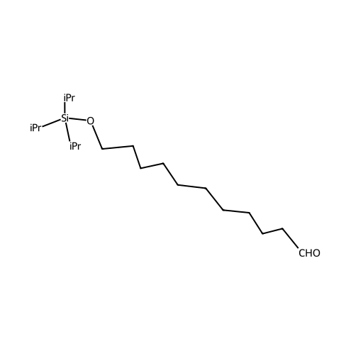 CC(C)[Si](OCCCCCCCCCCC=O)(C(C)C)C(C)C